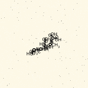 Cc1cc(Nc2nc(NCCS(=O)(=O)O)nc(Nc3ccc(/N=N/c4cccc(S(=O)(=O)O)c4)c(C)c3)n2)ccc1/N=N/c1cc(C(=O)O)cc(C(=O)O)c1